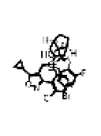 OC1(c2nc3c(F)cc(Br)cc3s2)[C@@H]2CC[C@H]1CC(OCc1c(-c3c(Cl)cncc3Cl)noc1C1CC1)C2